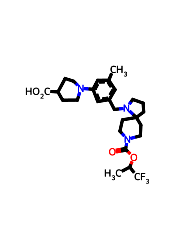 Cc1cc(CN2CCCC23CCN(C(=O)OC(C)C(F)(F)F)CC3)cc(N2CCC(C(=O)O)CC2)c1